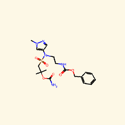 Cn1cc(N(CCNC(=O)OCc2ccccc2)S(=O)(=O)CC(C)(C)OC(N)=O)cn1